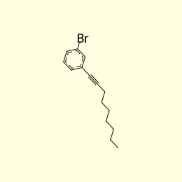 CCCCCCCC#Cc1cccc(Br)c1